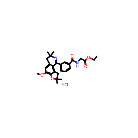 CCOC(=O)CNC(=O)c1cccc(C2=NC(C)(C)Cc3cc(OC)c4c(c32)CC(C)(C)O4)c1.Cl